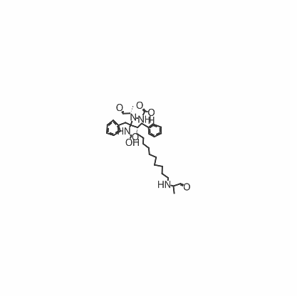 CC(C=O)NCCCCCCCCCC[C@@H](Cc1ccccc1)C(Cc1ccccc1)(NC(=O)O)N(NC(=O)O)[C@@H](C)C=O